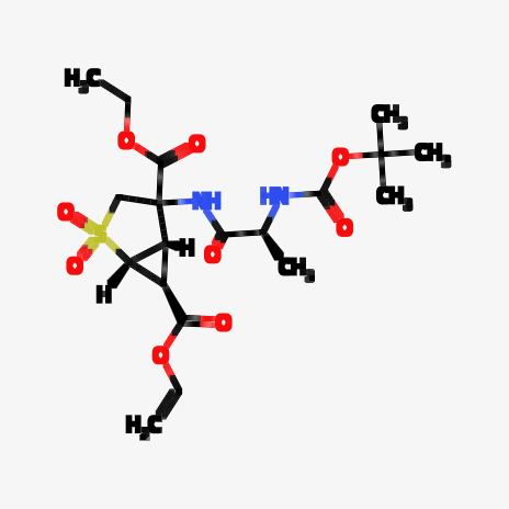 C=COC(=O)[C@@H]1[C@@H]2[C@H]1S(=O)(=O)CC2(NC(=O)[C@H](C)NC(=O)OC(C)(C)C)C(=O)OCC